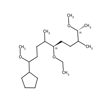 CCO[C@H](CCC(C)[C@@H](C)OC)C(C)CCC(OC)C1CCCC1